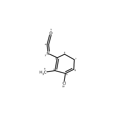 CC1=C(N=C=O)CCC=C1Cl